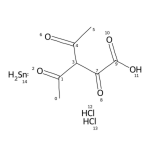 CC(=O)C(C(C)=O)C(=O)C(=O)O.Cl.Cl.[SnH2]